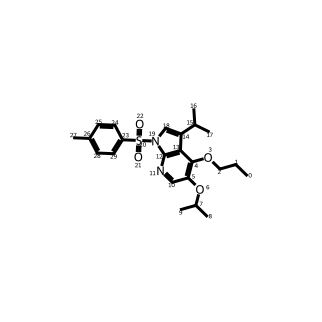 CCCOc1c(OC(C)C)cnc2c1c(C(C)C)cn2S(=O)(=O)c1ccc(C)cc1